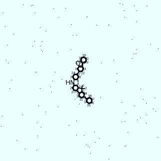 CC1(C)c2cc(Nc3ccc(-c4ccc5c(c4)oc4ccccc45)cc3)ccc2-c2ccc(-c3ccccc3)cc21